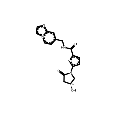 O=C(NCc1ccn2ccnc2c1)c1ccc(N2C[C@H](O)CC2=O)s1